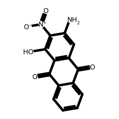 Nc1cc2c(c(O)c1[N+](=O)[O-])C(=O)c1ccccc1C2=O